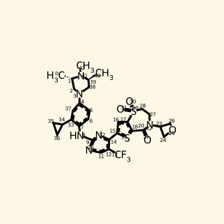 C[C@H]1CN(c2ccc(Nc3ncc(C(F)(F)F)c(-c4cc5c(s4)C(=O)N(C4COC4)CCS5(=O)=O)n3)c(C3CC3)c2)C[C@H](C)N1C